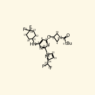 CC(C)(C)C(=O)N1CC(Oc2cc(NC3CCC(F)(F)CC3)nc(-n3ccc(C(F)F)n3)n2)C1